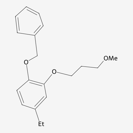 CCc1ccc(OCc2ccccc2)c(OCCCOC)c1